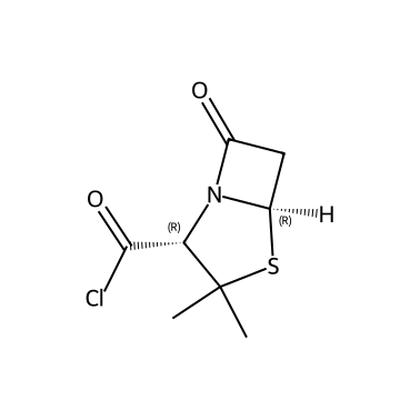 CC1(C)S[C@@H]2CC(=O)N2[C@H]1C(=O)Cl